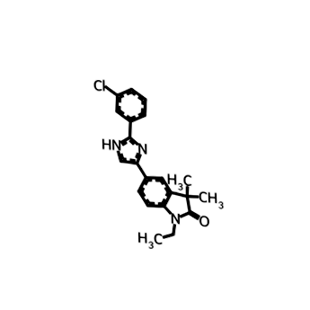 CCN1C(=O)C(C)(C)c2cc(-c3c[nH]c(-c4cccc(Cl)c4)n3)ccc21